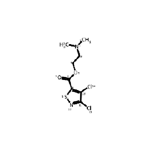 CN(C)CCOC(=O)c1snc(Cl)c1Cl